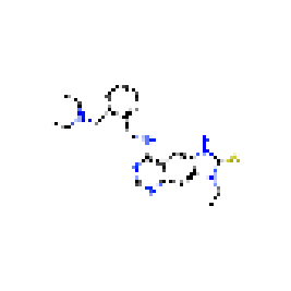 CCN(CC)Cc1ccccc1CNc1ncnc2cc3c(cc12)[nH]c(=S)n3CC